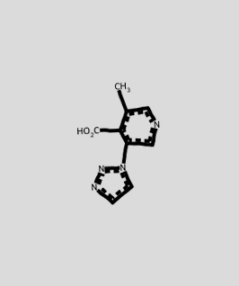 Cc1cncc(-n2ccnn2)c1C(=O)O